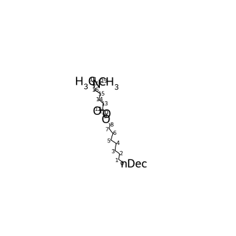 CCCCCCCCCCCCCCCCCCOOC(=O)CCCCN(C)C